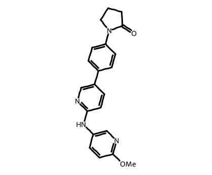 COc1ccc(Nc2ccc(-c3ccc(N4CCCC4=O)cc3)cn2)cn1